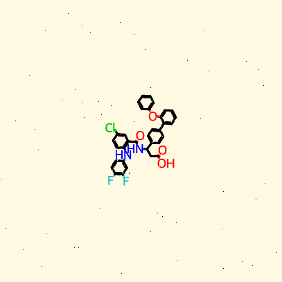 O=C(O)CC(NC(=O)c1cc(Cl)ccc1Nc1ccc(F)c(F)c1)c1ccc(-c2ccccc2Oc2ccccc2)cc1